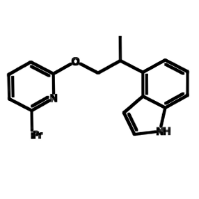 CC(C)c1cccc(OCC(C)c2cccc3[nH]ccc23)n1